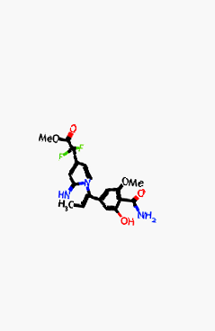 C/C=C(/c1cc(O)c(C(N)=O)c(OC)c1)n1ccc(C(F)(F)C(=O)OC)cc1=N